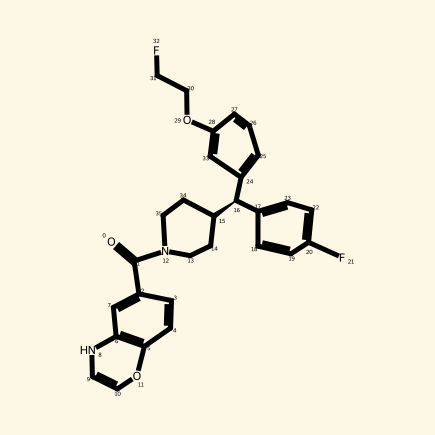 O=C(c1ccc2c(c1)NC=CO2)N1CCC([C@H](c2ccc(F)cc2)c2cccc(OCCF)c2)CC1